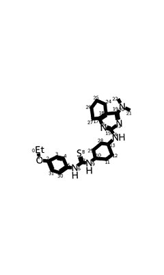 CCOc1ccc(NC(=S)NC2CCC(Nc3nc4c(c(N(C)C)n3)CCCC4)CC2)cc1